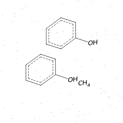 C.Oc1ccccc1.Oc1ccccc1